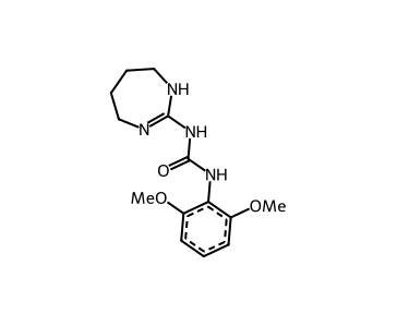 COc1cccc(OC)c1NC(=O)NC1=NCCCCN1